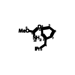 CC(C)Cc1ccccc1.COC(N)=O